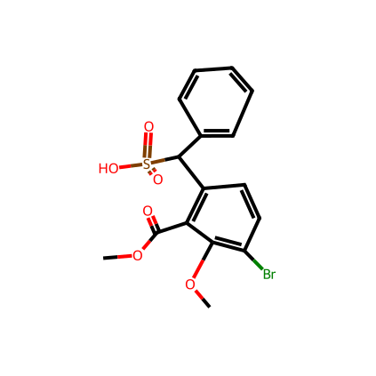 COC(=O)c1c(C(c2ccccc2)S(=O)(=O)O)ccc(Br)c1OC